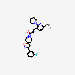 O=C(/C=C/c1ccc(C(F)(F)F)nc1N1CCCCC1)N1CCC2(CC1)CC(c1cccc(F)c1)=NO2